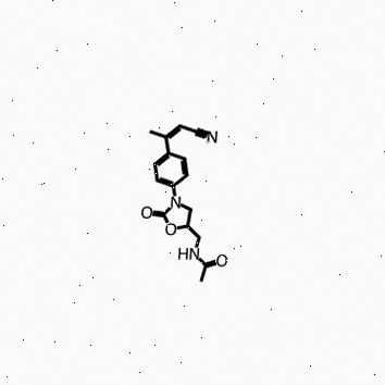 CC(=O)NCC1CN(c2ccc(/C(C)=C\C#N)cc2)C(=O)O1